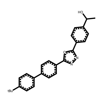 CC(O)c1ccc(-c2nnc(-c3ccc(-c4ccc(C(C)(C)C)cc4)cc3)o2)cc1